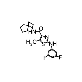 Cc1sc(Nc2cc(F)cc(F)c2)nc1C(=O)NC1CCC12CCCC2